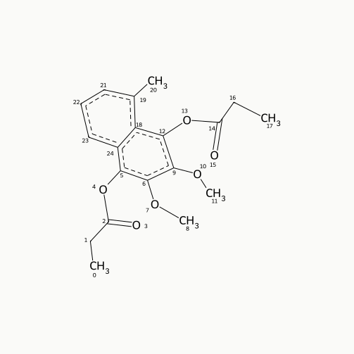 CCC(=O)Oc1c(OC)c(OC)c(OC(=O)CC)c2c(C)cccc12